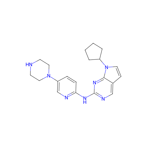 c1cc(Nc2ncc3ccn(C4CCCC4)c3n2)ncc1N1CCNCC1